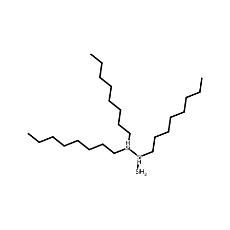 CCCCCCCC[SiH]([SiH3])[SiH](CCCCCCCC)CCCCCCCC